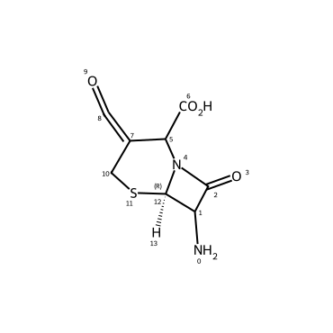 NC1C(=O)N2C(C(=O)O)C(=C=O)CS[C@H]12